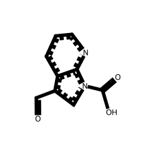 O=Cc1cn(C(=O)O)c2ncccc12